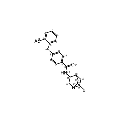 CC(=O)c1ccccc1Sc1ccc(C(=O)NC2CN3CCC2CC3C)cc1